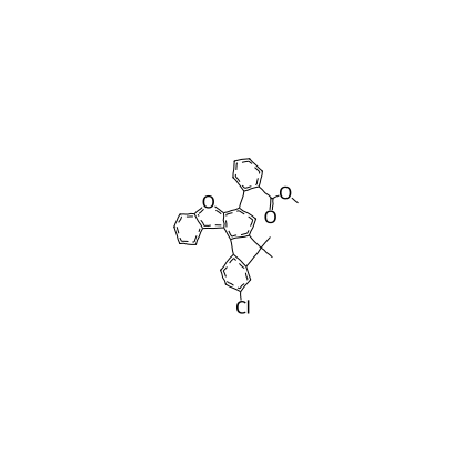 COC(=O)c1ccccc1-c1cc2c(c3c1oc1ccccc13)-c1ccc(Cl)cc1C2(C)C